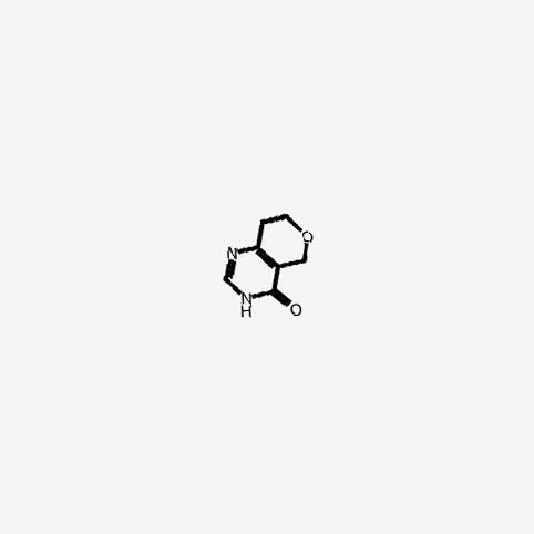 O=c1[nH]cnc2c1COCC2